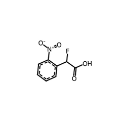 O=C(O)C(F)c1ccccc1[N+](=O)[O-]